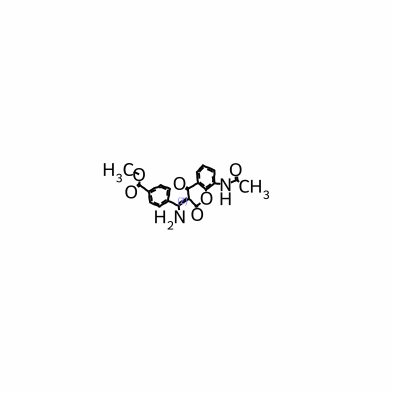 COC(=O)c1ccc(/C(N)=C2/C(=O)Oc3c(NC(C)=O)cccc3C2=O)cc1